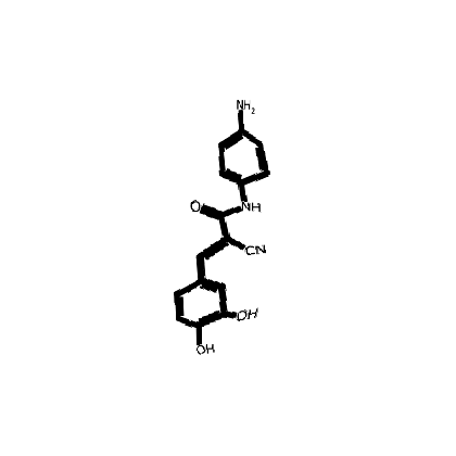 N#C/C(=C\c1ccc(O)c(O)c1)C(=O)Nc1ccc(N)cc1